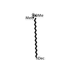 CCCCCCCCCCCCCCCCCCCCCCCCCCCCCCP(=O)(OC)OC